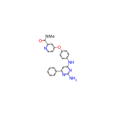 CNC(=O)c1cc(Oc2ccc(Nc3cc(-c4ccccc4)nc(N)n3)cc2)ccn1